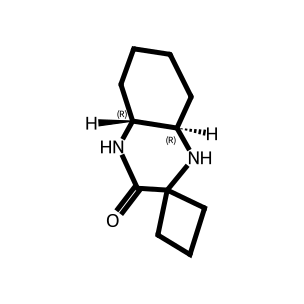 O=C1N[C@@H]2CCCC[C@H]2NC12CCC2